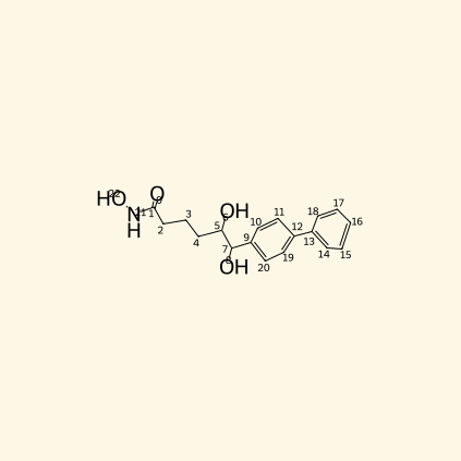 O=C(CCCC(O)C(O)c1ccc(-c2ccccc2)cc1)NO